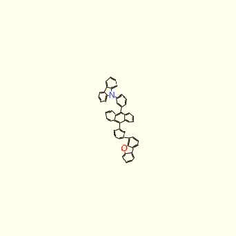 c1cc(-c2c3ccccc3c(-c3cccc(-n4c5ccccc5c5ccccc54)c3)c3ccccc23)cc(-c2cccc3c2oc2ccccc23)c1